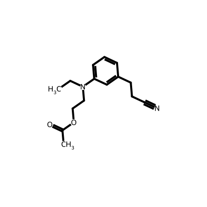 CCN(CCOC(C)=O)c1cccc(CCC#N)c1